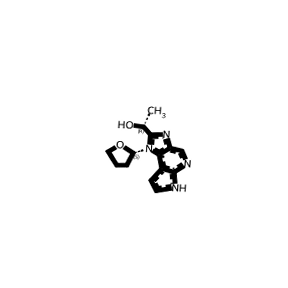 C[C@@H](O)c1nc2cnc3[nH]ccc3c2n1[C@@H]1CCCO1